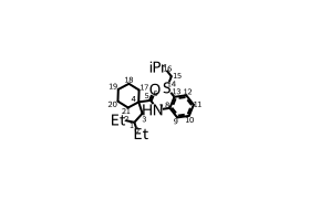 CCC(CC)CC1(C(=O)Nc2ccccc2SCC(C)C)CCCCC1